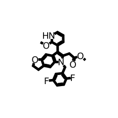 COC(=O)Cc1c(C2=CC=CNC2OC)c2cc3c(cc2n1Cc1cc(F)ccc1F)CCO3